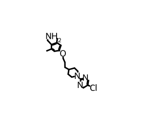 Cc1cc(OCCCC2CCN(c3ncc(Cl)cn3)CC2)cc(C)c1CN